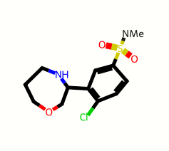 CNS(=O)(=O)c1ccc(Cl)c(C2COCCCN2)c1